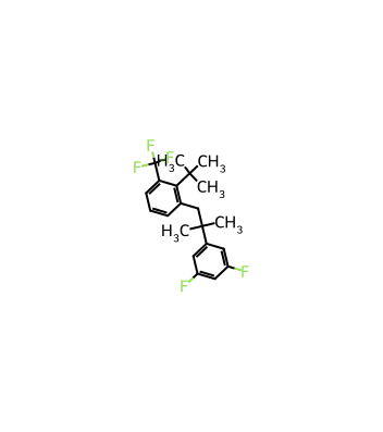 CC(C)(C)c1c(CC(C)(C)c2cc(F)cc(F)c2)cccc1C(F)(F)F